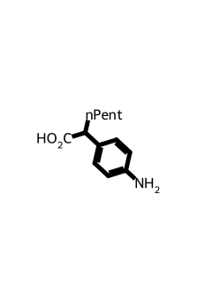 CCCCCC(C(=O)O)c1ccc(N)cc1